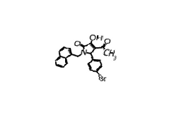 CC(=O)C1=C(O)C(=O)N(Cc2cccc3ccccc23)C1c1ccc(Br)cc1